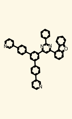 c1ccc(-c2nc(-c3cc(-c4ccc(-c5cccnc5)cc4)cc(-c4ccc(-c5cccnc5)cc4)c3)cc(-c3cccc4oc5ccccc5c34)n2)cc1